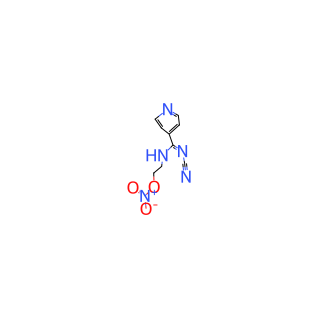 N#CN=C(NCCO[N+](=O)[O-])c1ccncc1